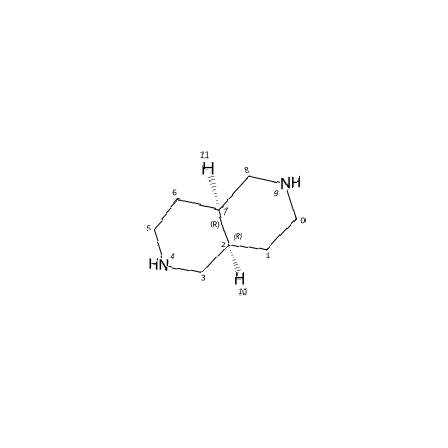 C1C[C@H]2CNCC[C@H]2CN1